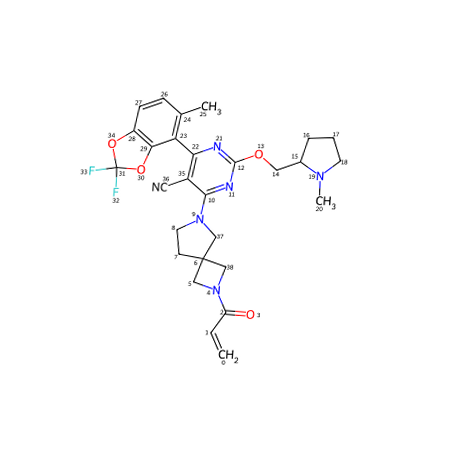 C=CC(=O)N1CC2(CCN(c3nc(OCC4CCCN4C)nc(-c4c(C)ccc5c4OC(F)(F)O5)c3C#N)C2)C1